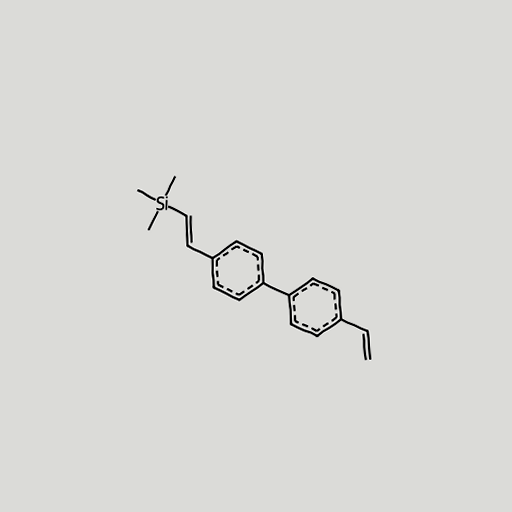 C=Cc1ccc(-c2ccc(C=C[Si](C)(C)C)cc2)cc1